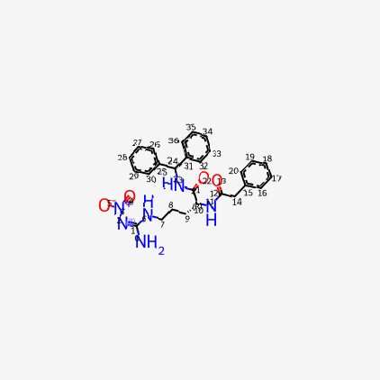 N/C(=N/[N+](=O)[O-])NCCC[C@@H](NC(=O)Cc1ccccc1)C(=O)NC(c1ccccc1)c1ccccc1